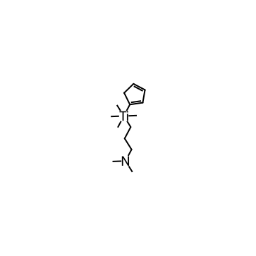 CN(C)CC[CH2][Ti]([CH3])([CH3])([CH3])([CH3])[C]1=CC=CC1